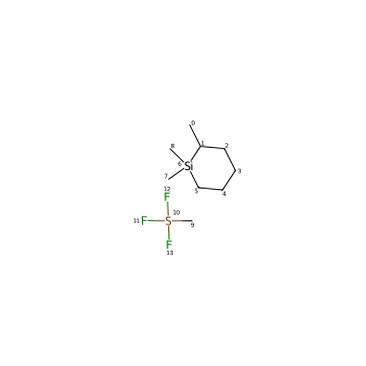 CC1CCCC[Si]1(C)C.CS(F)(F)F